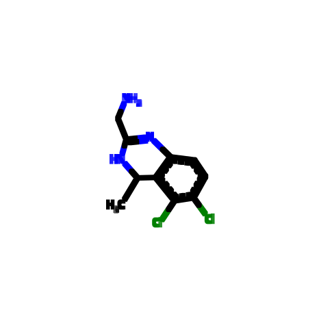 CC1NC(CN)=Nc2ccc(Cl)c(Cl)c21